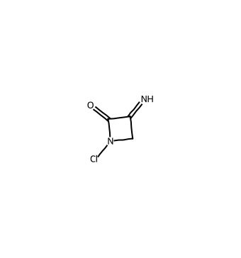 N=C1CN(Cl)C1=O